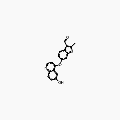 Cc1sc2cc(Oc3ccnc4ccc(O)cc34)ccc2c1C=O